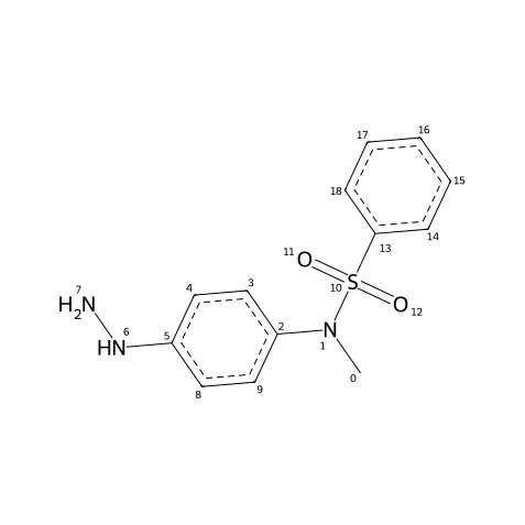 CN(c1ccc(NN)cc1)S(=O)(=O)c1ccccc1